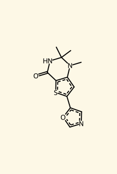 CN1c2cc(-c3cnco3)sc2C(=O)NC1(C)C